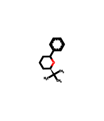 CC(C)(C)[C@@H]1CCCC(c2ccccc2)O1